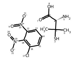 CC(C)(S)[C@@H](N)C(=O)O.O=[N+]([O-])c1cccc(Cl)c1[N+](=O)[O-]